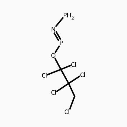 PN=POC(Cl)(Cl)C(Cl)(Cl)CCl